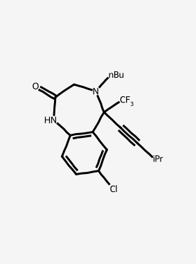 CCCCN1CC(=O)Nc2ccc(Cl)cc2C1(C#CC(C)C)C(F)(F)F